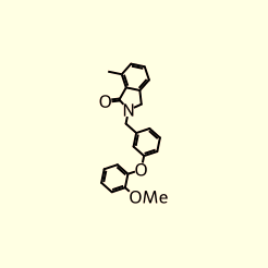 COc1ccccc1Oc1cccc(CN2Cc3cccc(C)c3C2=O)c1